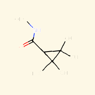 CC1(C)C(C(=O)NC=O)C1(C)C